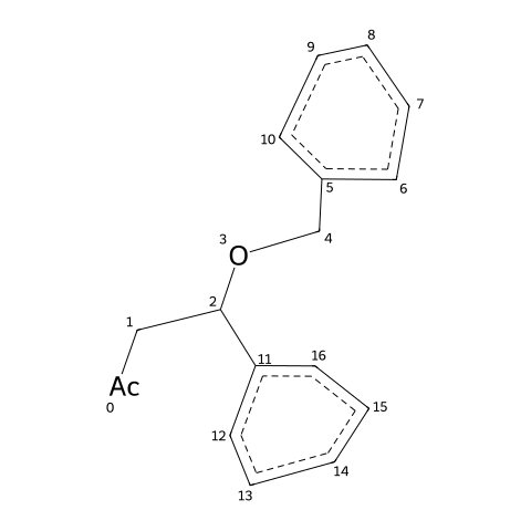 CC(=O)CC(OCc1ccccc1)c1ccccc1